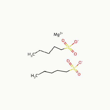 CCCCCS(=O)(=O)[O-].CCCCCS(=O)(=O)[O-].[Mg+2]